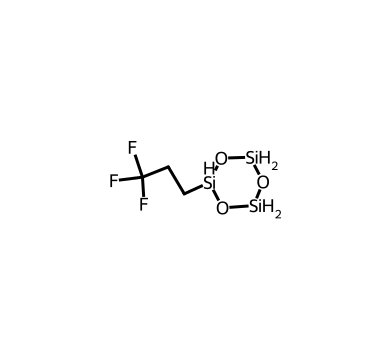 FC(F)(F)CC[SiH]1O[SiH2]O[SiH2]O1